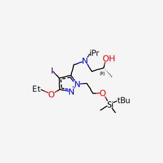 CCOc1nn(CCO[Si](C)(C)C(C)(C)C)c(CN(C[C@@H](C)O)C(C)C)c1I